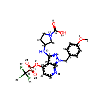 COc1ccc(Cn2nc(NC3CCN(C(=O)O)C3)c3c(OS(=O)(=O)C(F)(F)F)ccnc32)cc1